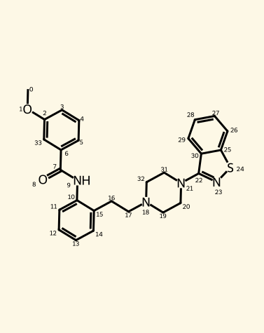 COc1cccc(C(=O)Nc2ccccc2CCN2CCN(c3nsc4ccccc34)CC2)c1